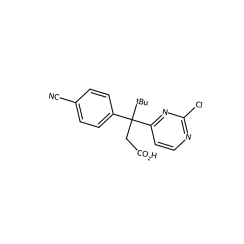 CC(C)(C)C(CC(=O)O)(c1ccc(C#N)cc1)c1ccnc(Cl)n1